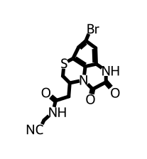 N#CCNC(=O)CC1CSc2cc(Br)cc3[nH]c(=O)c(=O)n1c23